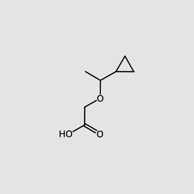 CC(OCC(=O)O)C1CC1